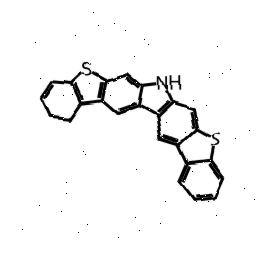 C1=Cc2sc3cc4[nH]c5cc6sc7ccccc7c6cc5c4cc3c2CC1